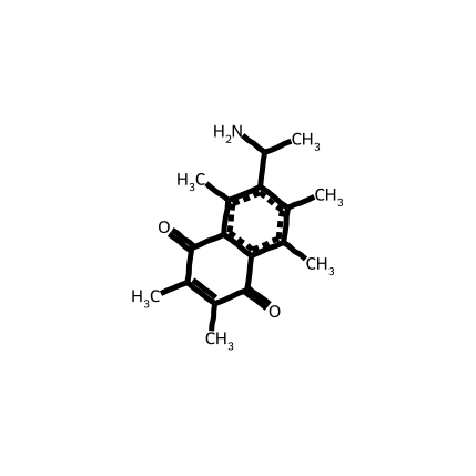 CC1=C(C)C(=O)c2c(C)c(C(C)N)c(C)c(C)c2C1=O